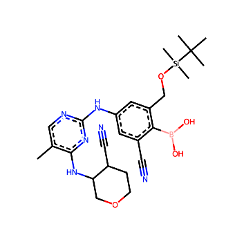 Cc1cnc(Nc2cc(C#N)c(B(O)O)c(CO[Si](C)(C)C(C)(C)C)c2)nc1NC1COCCC1C#N